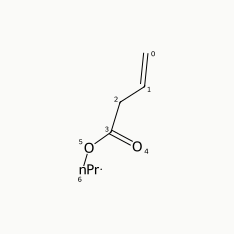 C=CCC(=O)O[CH]CC